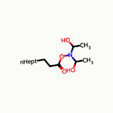 CCCCCCCCCC(=O)ON(C(C)O)C(C)O